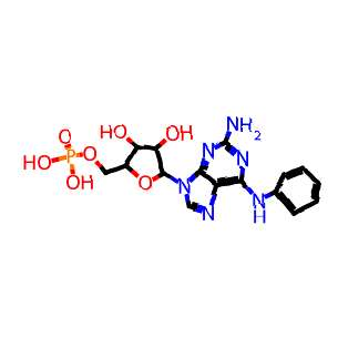 Nc1nc(Nc2ccccc2)c2ncn(C3OC(COP(=O)(O)O)C(O)C3O)c2n1